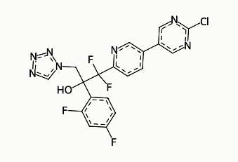 OC(Cn1cnnn1)(c1ccc(F)cc1F)C(F)(F)c1ccc(-c2cnc(Cl)nc2)cn1